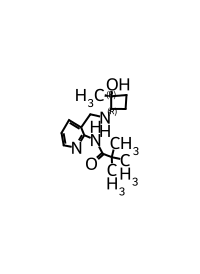 CC(C)(C)C(=O)Nc1ncccc1CN[C@@H]1CC[C@@]1(C)O